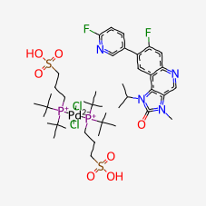 CC(C)(C)[P+](CCCS(=O)(=O)O)(C(C)(C)C)[Pd-2]([Cl])([Cl])[P+](CCCS(=O)(=O)O)(C(C)(C)C)C(C)(C)C.CC(C)n1c(=O)n(C)c2cnc3cc(F)c(-c4ccc(F)nc4)cc3c21